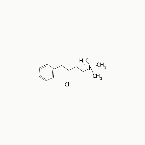 C[N+](C)(C)CCCCc1ccccc1.[Cl-]